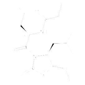 C=C1C=C(OC)[C@H](CC(C)C)N1C(=O)[C@@H](CCC)NC(=O)CC